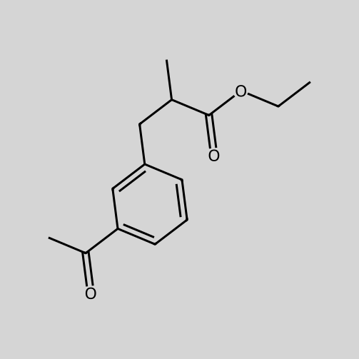 CCOC(=O)C(C)Cc1cccc(C(C)=O)c1